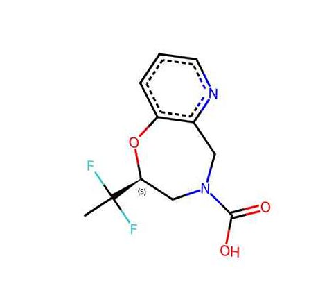 CC(F)(F)[C@@H]1CN(C(=O)O)Cc2ncccc2O1